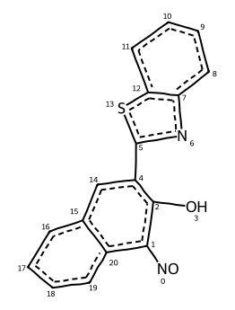 O=Nc1c(O)c(-c2nc3ccccc3s2)cc2ccccc12